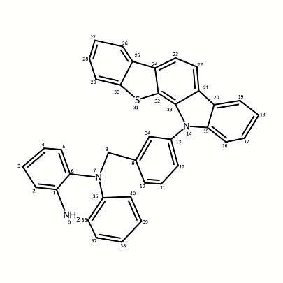 Nc1ccccc1N(Cc1cccc(-n2c3ccccc3c3ccc4c5ccccc5sc4c32)c1)c1ccccc1